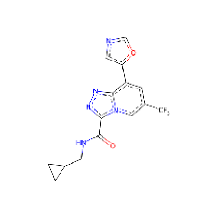 O=C(NCC1CC1)c1nnc2c(-c3cnco3)cc(C(F)(F)F)cn12